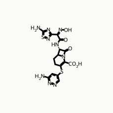 Nc1cc(SC2=C(C(=O)O)N3C(=O)[C@@H](NC(=O)/C(=N\O)c4nsc(N)n4)C3CC2)cnn1